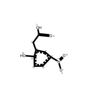 O=C(O)Cc1cc([N+](=O)[O-])ccc1O